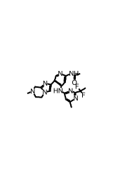 CC(=O)Nc1cc(Nc2cc(C)nc(C(C)(F)F)n2)c(-c2cn3c(n2)CN(C)CC3)cn1